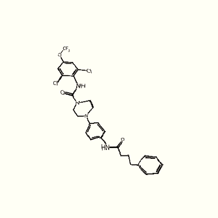 O=C(CCCc1ccccc1)Nc1ccc(N2CCN(C(=O)Nc3c(Cl)cc(OC(F)(F)F)cc3Cl)CC2)cc1